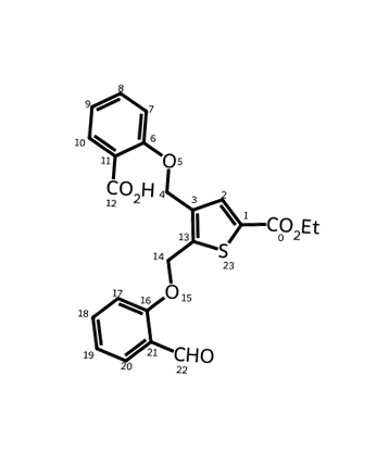 CCOC(=O)c1cc(COc2ccccc2C(=O)O)c(COc2ccccc2C=O)s1